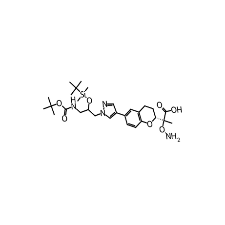 CC(C)(C)OC(=O)NCC(Cn1cc(-c2ccc3c(c2)CC[C@H](C(C)(ON)C(=O)O)O3)cn1)O[Si](C)(C)C(C)(C)C